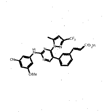 [C-]#[N+]c1cc(Nc2ncc(-c3cccc(/C=C/C(=O)O)c3)c(-n3nc(C(F)(F)F)cc3C)n2)cc(OC)c1